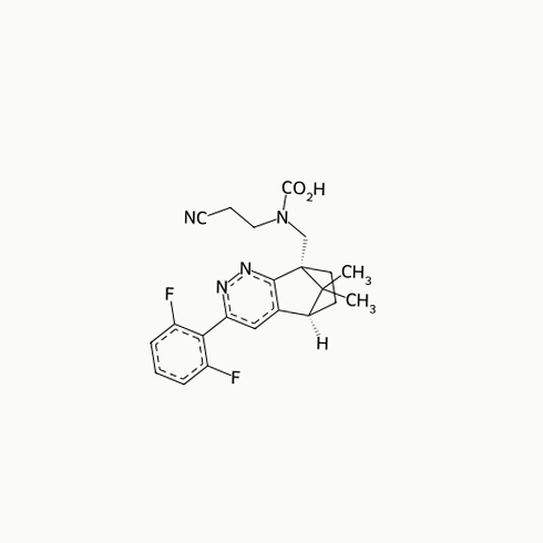 CC1(C)[C@H]2CC[C@]1(CN(CCC#N)C(=O)O)c1nnc(-c3c(F)cccc3F)cc12